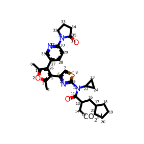 Cc1oc(C)c(-c2csc(N(C(=O)C(CC(=O)O)CC3CCCC3)C3CC3)n2)c1-c1ccc(N2CCCC2=O)nc1